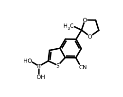 CC1(c2cc(C#N)c3sc(B(O)O)cc3c2)OCCO1